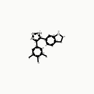 Cc1cc(-c2nn[nH]c2-c2ccc3c(c2)OCC3)cc(C)c1C